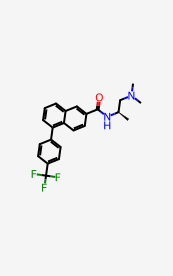 C[C@H](CN(C)C)NC(=O)c1ccc2c(-c3ccc(C(F)(F)F)cc3)cccc2c1